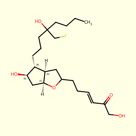 CCCCC(O)(CF)CCC[C@@H]1[C@H]2CC(CCC=CC(=O)CO)O[C@H]2C[C@H]1O